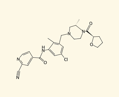 Cc1c(CN2CCN(C(=O)[C@H]3CCCO3)[C@@H](C)C2)cc(Cl)cc1NC(=O)c1ccnc(C#N)c1